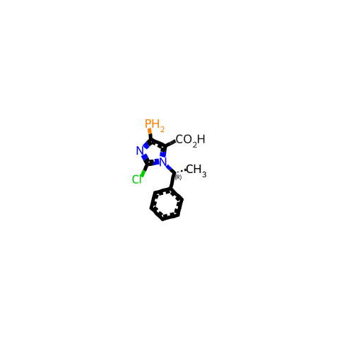 C[C@H](c1ccccc1)n1c(Cl)nc(P)c1C(=O)O